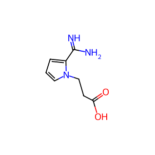 N=C(N)c1cccn1CCC(=O)O